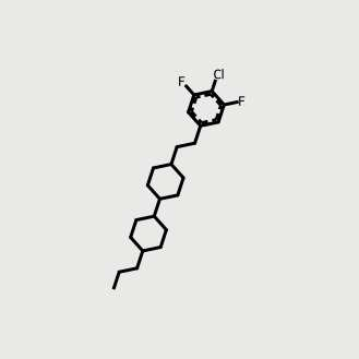 CCCC1CCC(C2CCC(CCc3cc(F)c(Cl)c(F)c3)CC2)CC1